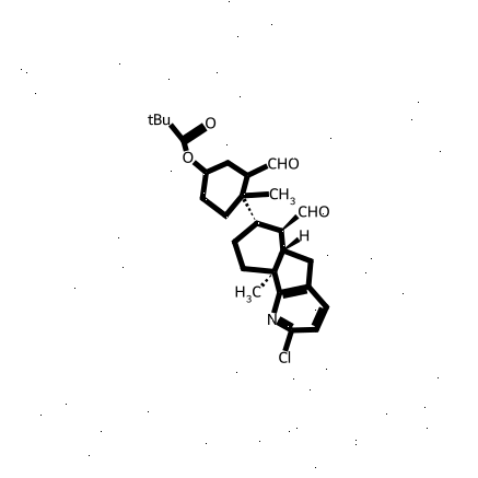 CC(C)(C)C(=O)OC1CCC(C)([C@H]2CC[C@]3(C)c4nc(Cl)ccc4C[C@H]3[C@@H]2C=O)C(C=O)C1